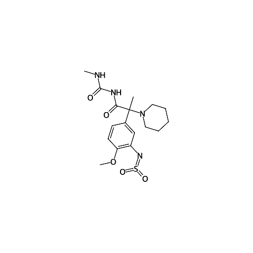 CNC(=O)NC(=O)C(C)(c1ccc(OC)c(N=S(=O)=O)c1)N1CCCCC1